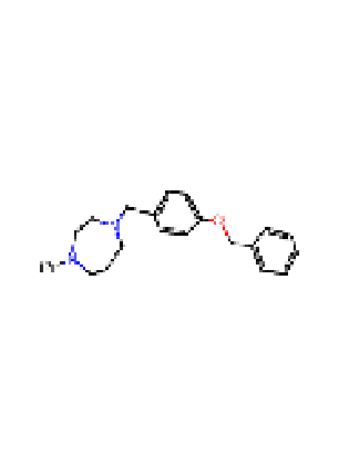 CC(C)N1CCCN(Cc2ccc(OCc3ccccc3)cc2)CC1